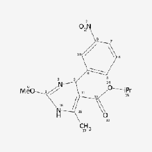 COC1=NC(c2cccc([N+](=O)[O-])c2)C(C(=O)OC(C)C)=C(C)N1